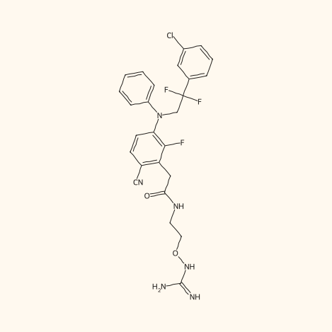 N#Cc1ccc(N(CC(F)(F)c2cccc(Cl)c2)c2ccccc2)c(F)c1CC(=O)NCCONC(=N)N